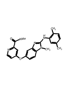 CNC(=O)c1cc(Oc2ccc3c(c2)nc(Nc2cc(C)ccc2C)n3C)ccn1